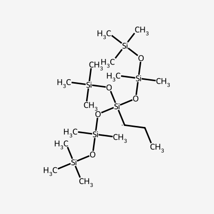 CC[CH][Si](O[Si](C)(C)C)(O[Si](C)(C)O[Si](C)(C)C)O[Si](C)(C)O[Si](C)(C)C